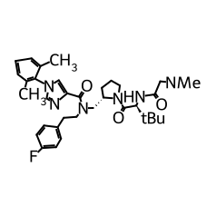 CNCC(=O)N[C@H](C(=O)N1CCC[C@H]1CN(CCc1ccc(F)cc1)C(=O)c1cn(-c2c(C)cccc2C)cn1)C(C)(C)C